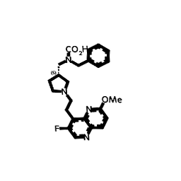 COc1ccc2ncc(F)c(CCN3CC[C@H](CN(Cc4ccccc4)C(=O)O)C3)c2n1